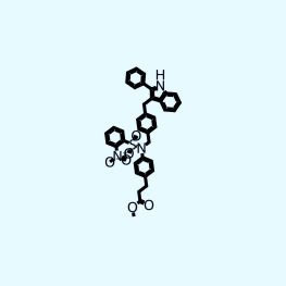 COC(=O)CCc1ccc(N(Cc2ccc(Cc3c(-c4ccccc4)[nH]c4ccccc34)cc2)S(=O)(=O)c2ccccc2[N+](=O)[O-])cc1